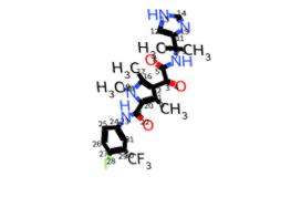 Cc1c(C(=O)C(=O)NC(C)(C)c2c[nH]cn2)c(C)n(C)c1C(=O)Nc1ccc(F)c(C(F)(F)F)c1